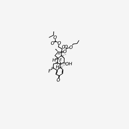 CCCOC(=O)O[C@]1(C(=O)COC(=O)OC(C)C)[C@H](C)C[C@H]2[C@@H]3C[C@H](F)C4=CC(=O)C=C[C@]4(C)[C@@]3(F)[C@@H](O)C[C@@]21C